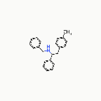 Cc1ccc(CC(NCc2ccccc2)c2ccccc2)cc1